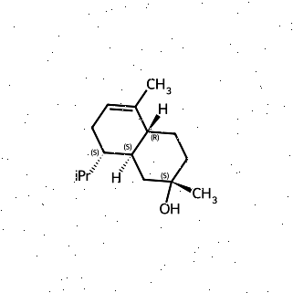 CC1=CC[C@@H](C(C)C)[C@@H]2C[C@@](C)(O)CC[C@@H]12